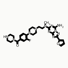 CN(CCN1CCN(c2ccc(C(=O)N3CCNCC3)cc2F)CC1)c1nc(N)n2nc(-c3ccco3)nc2n1